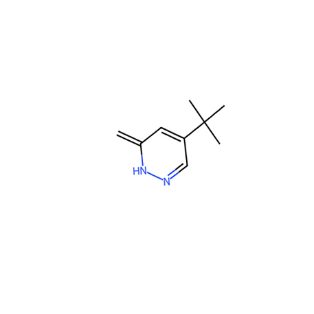 C=C1C=C(C(C)(C)C)C=NN1